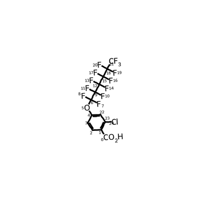 O=C(O)c1ccc(OC(F)(F)C(F)(F)C(F)(F)C(F)(F)C(F)(F)C(F)(F)F)cc1Cl